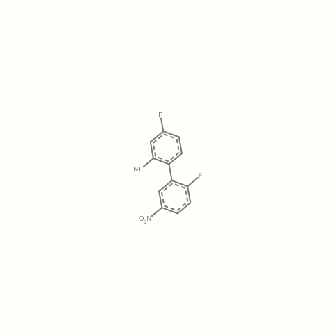 N#Cc1cc(F)ccc1-c1cc([N+](=O)[O-])ccc1F